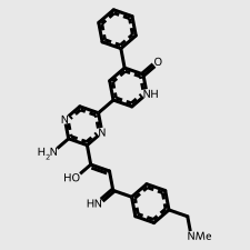 CNCc1ccc(C(=N)/C=C(\O)c2nc(-c3c[nH]c(=O)c(-c4ccccc4)c3)cnc2N)cc1